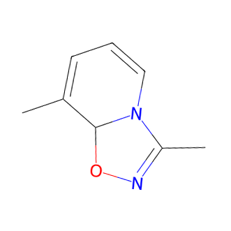 CC1=CC=CN2C(C)=NOC12